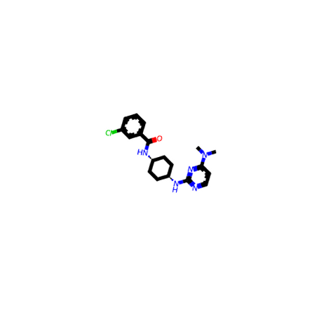 CN(C)c1ccnc(N[C@H]2CC[C@@H](NC(=O)c3cccc(Cl)c3)CC2)n1